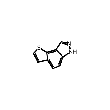 c1cc2ccc3[nH]ncc3c2s1